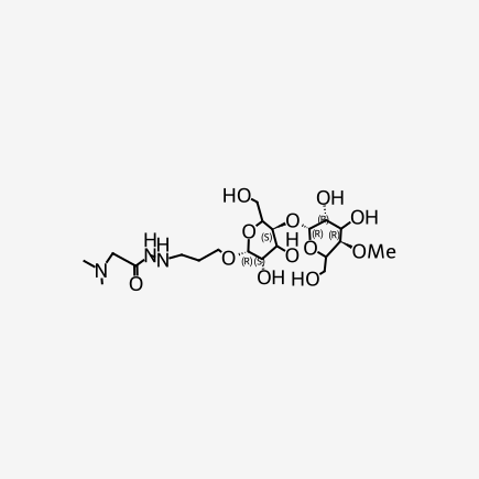 CO[C@H]1C(CO)O[C@H](O[C@@H]2C(CO)O[C@@H](OCCCNNC(=O)CN(C)C)[C@@H](O)C2O)[C@H](O)C1O